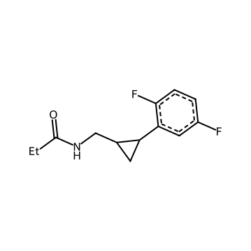 CCC(=O)NCC1CC1c1cc(F)ccc1F